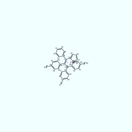 Fc1ccc(B(/C(=C(/c2ccccc2)c2ccco2)c2ccc(F)cc2)c2ccc(F)cc2)cc1